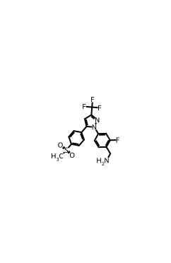 CS(=O)(=O)c1ccc(-c2cc(C(F)(F)F)nn2-c2ccc(CN)c(F)c2)cc1